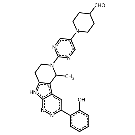 CC1c2c([nH]c3nnc(-c4ccccc4O)cc23)CCN1c1ncc(N2CCC(C=O)CC2)cn1